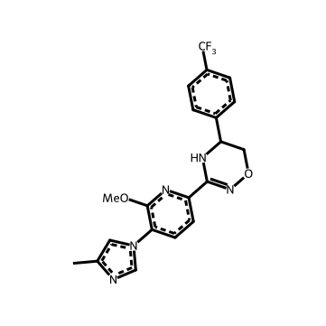 COc1nc(C2=NOCC(c3ccc(C(F)(F)F)cc3)N2)ccc1-n1cnc(C)c1